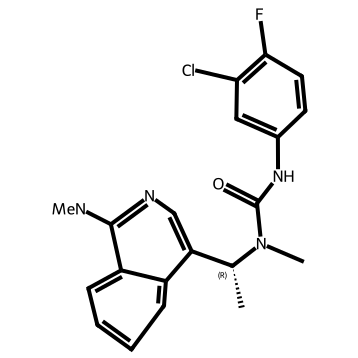 CNc1ncc([C@@H](C)N(C)C(=O)Nc2ccc(F)c(Cl)c2)c2ccccc12